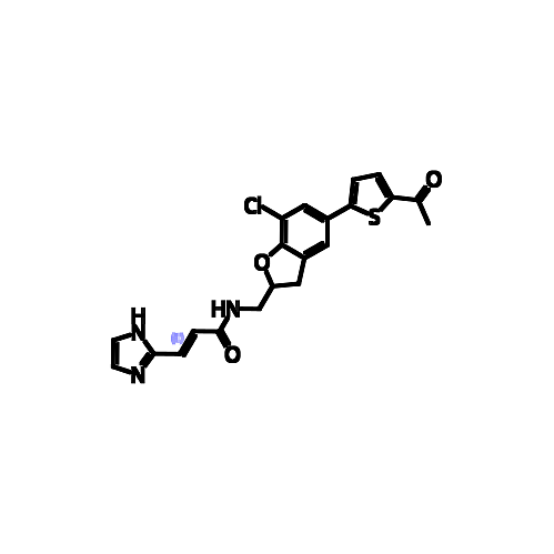 CC(=O)c1ccc(-c2cc(Cl)c3c(c2)CC(CNC(=O)/C=C/c2ncc[nH]2)O3)s1